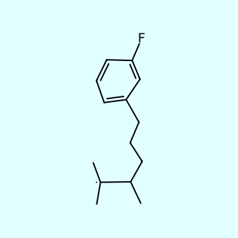 C[C](C)C(C)CCCc1cccc(F)c1